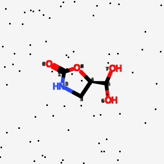 O=C1NC[C@H](C(O)O)O1